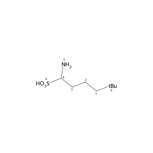 CC(C)(C)CCCC(N)S(=O)(=O)O